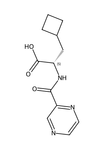 O=C(N[C@@H](CC1CCC1)C(=O)O)c1cnccn1